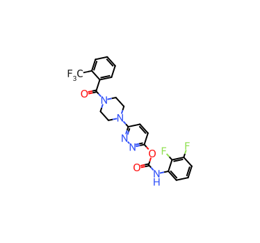 O=C(Nc1cccc(F)c1F)Oc1ccc(N2CCN(C(=O)c3ccccc3C(F)(F)F)CC2)nn1